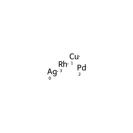 [Ag].[Cu].[Pd].[Rh]